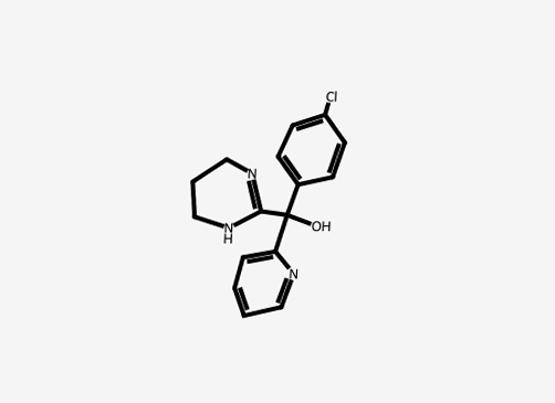 OC(C1=NCCCN1)(c1ccc(Cl)cc1)c1ccccn1